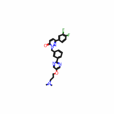 CN(C)CCCOc1cnc(-c2cccc(Cn3nc(-c4ccc(F)c(F)c4)ccc3=O)c2)nc1